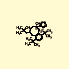 CC(C)(C)CC1CC[C@@](C)(c2ccsc2)Cc2c(C(C)(C)C)ccc(C(C)(C)C)c2C1